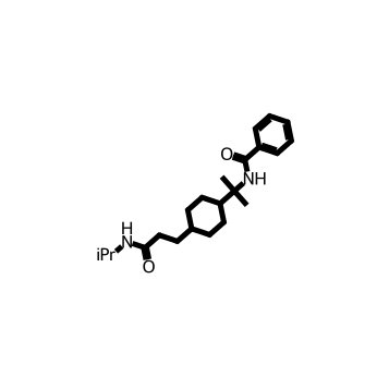 CC(C)NC(=O)CCC1CCC(C(C)(C)NC(=O)c2ccccc2)CC1